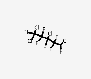 FC(Cl)C(F)(F)C(F)(Cl)C(F)(F)C(Cl)(Cl)Cl